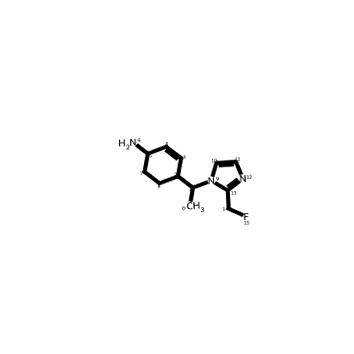 CC(C1C=CC(N)CC1)n1ccnc1CF